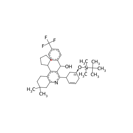 CC1(C)CCc2c(nc(C3C=CC[C@H](O[Si](C)(C)C(C)(C)C)C3)c(C(O)c3ccc(C(F)(F)F)cc3)c2C2CCCC2)C1